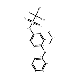 CSC.O=S(=O)(Oc1ccc(Oc2ccccc2)cc1)C(F)(F)F